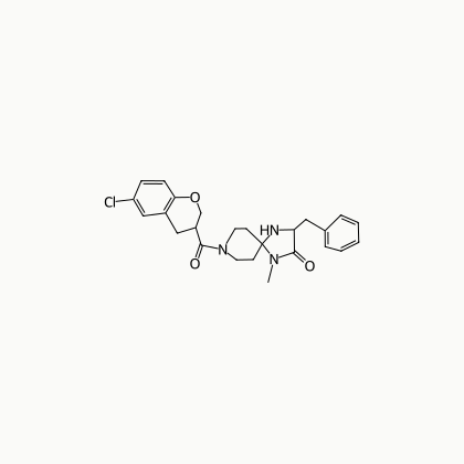 CN1C(=O)C(Cc2ccccc2)NC12CCN(C(=O)C1COc3ccc(Cl)cc3C1)CC2